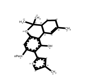 CCCCCc1cc2c(c(O)c1-c1cc(C)cs1)C1C=C(C)CCC1C(C)(C)O2